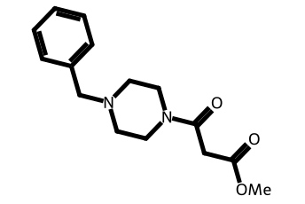 COC(=O)CC(=O)N1CCN(Cc2ccccc2)CC1